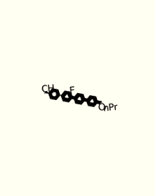 C=C[C@H]1CC[C@H](c2ccc(-c3ccc(-c4ccc(COCCC)cc4)cc3)c(F)c2)CC1